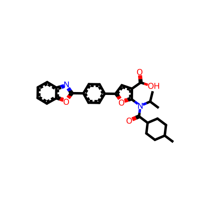 CC1CCC(C(=O)N(c2oc(-c3ccc(-c4nc5ccccc5o4)cc3)cc2C(=O)O)C(C)C)CC1